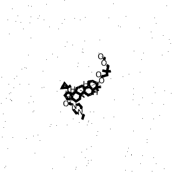 CCN1CCN(C(=O)[C@]23CC[C@@H](C4(C)CC4)[C@@H]2[C@H]2CC[C@@H]4[C@@]5(C)CC[C@H](OC(=O)CC(C)(C)COC=O)C(C)(C)[C@@H]5CC[C@@]4(C)[C@]2(C)CC3)CC1